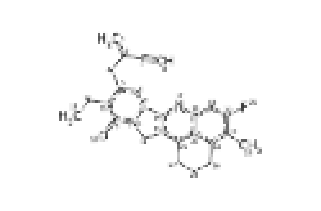 C#CC(=C)Cc1cc2n(c(=O)c1CC)Cc1c-2nc2cc(F)c(C)c3c2c1CCC3